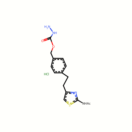 CC(=O)Nc1nc(CCc2ccc(COC(=O)NN)cc2)cs1.Cl